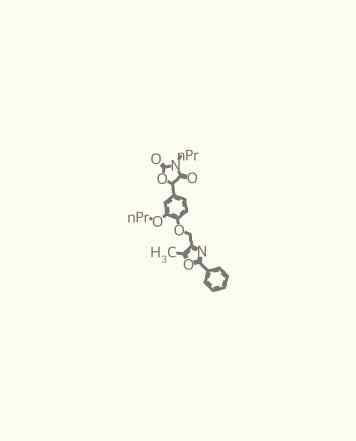 CCCOc1cc(C2OC(=O)N(CCC)C2=O)ccc1OCc1nc(-c2ccccc2)oc1C